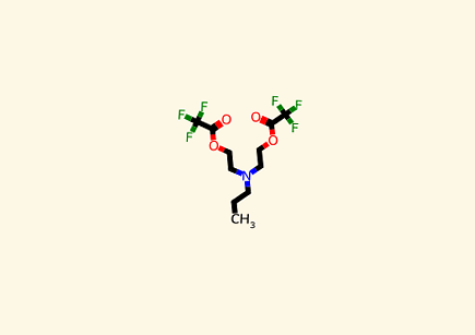 CCCN(CCOC(=O)C(F)(F)F)CCOC(=O)C(F)(F)F